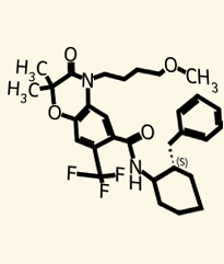 COCCCCN1C(=O)C(C)(C)Oc2cc(C(F)(F)F)c(C(=O)NC3CCCC[C@H]3Cc3ccccc3)cc21